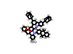 CC(C)(C)c1ccc(N2c3cc4c(cc3B3c5c2cc2c(sc6ccccc62)c5-c2cc(C56CC7CC(CC(C7)C5)C6)cc5c6cc(C78CC9CC(CC(C9)C7)C8)ccc6n3c25)C(C)(C)c2ccccc2C4(C)C)c(-c2ccccc2)c1